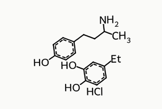 CC(N)CCc1ccc(O)cc1.CCc1ccc(O)c(O)c1.Cl